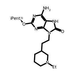 CCC[C@H](C)Oc1nc(N)c2[nH]c(=O)n(CCC3CCCN(CC)C3)c2n1